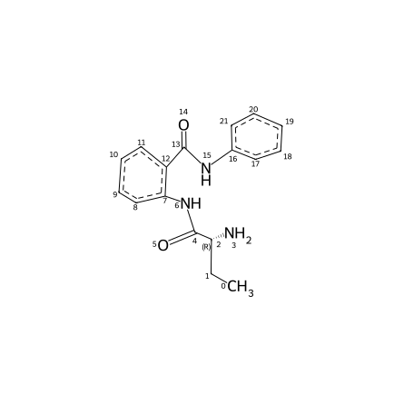 CC[C@@H](N)C(=O)Nc1ccccc1C(=O)Nc1ccccc1